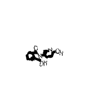 O=C1c2ccccc2C(O)N1c1ccc(O)nc1